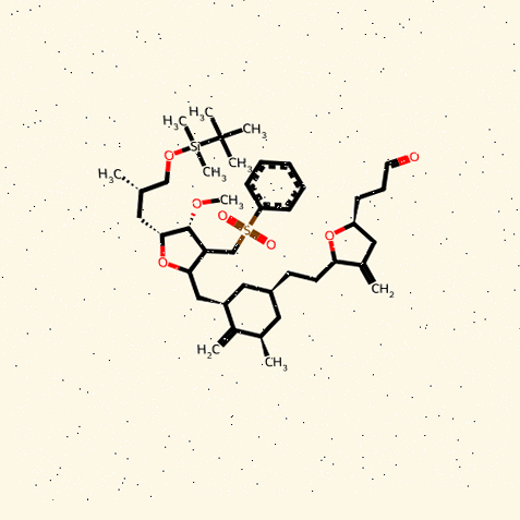 C=C1C[C@H](CCC=O)OC1CC[C@@H]1C[C@H](CC2O[C@H](C[C@H](C)CO[Si](C)(C)C(C)(C)C)[C@H](OC)C2CS(=O)(=O)c2ccccc2)C(=C)[C@H](C)C1